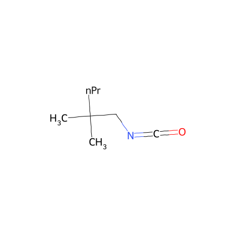 CCCC(C)(C)CN=C=O